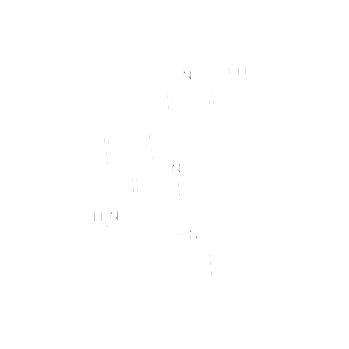 Cc1ccc(-c2cccc3c(N)c4c(nc23)CN(C2CC2)C4)cn1